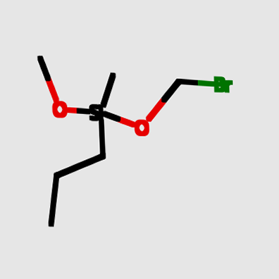 CCC[Si](C)(OC)OCBr